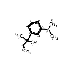 CCC(C)(C)c1cccc(N(C)C)c1